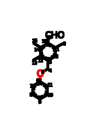 Cc1cc(COc2ccccc2)c(C)c(C)c1C=O